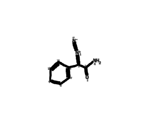 [N-]=[N+]=C(C(N)=O)c1ccccc1